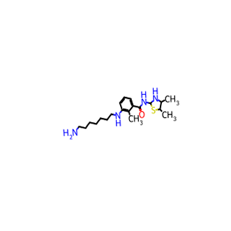 Cc1c(NCCCCCCCN)cccc1C(=O)NC1NC(C)C(C)S1